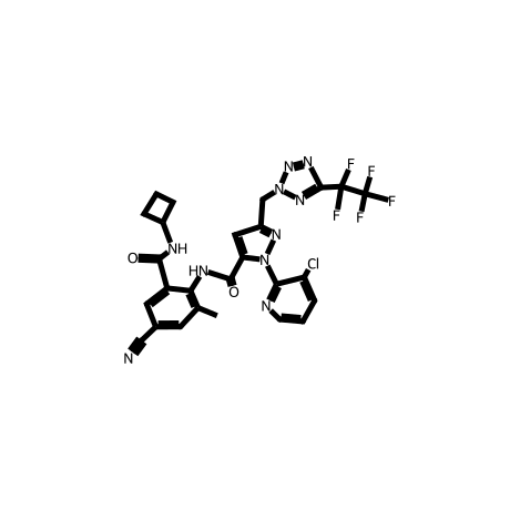 Cc1cc(C#N)cc(C(=O)NC2CCC2)c1NC(=O)c1cc(Cn2nnc(C(F)(F)C(F)(F)F)n2)nn1-c1ncccc1Cl